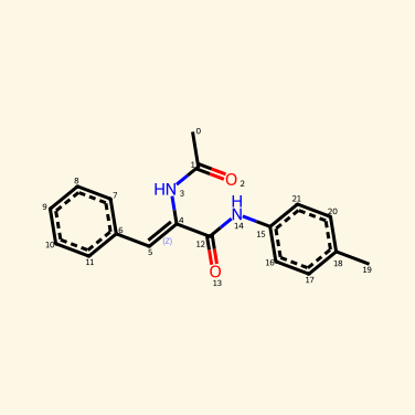 CC(=O)N/C(=C\c1ccccc1)C(=O)Nc1ccc(C)cc1